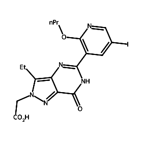 CCCOc1ncc(I)cc1-c1nc2c(CC)n(CC(=O)O)nc2c(=O)[nH]1